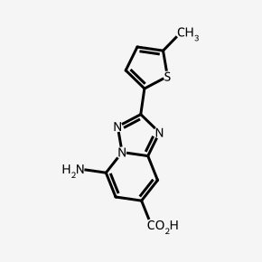 Cc1ccc(-c2nc3cc(C(=O)O)cc(N)n3n2)s1